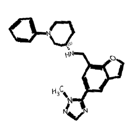 Cn1ncnc1-c1cc(CN[C@H]2CCCN(c3ccccc3)C2)c2occc2c1